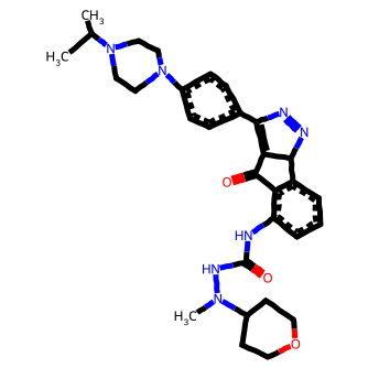 CC(C)N1CCN(c2ccc(C3=C4C(=O)c5c(NC(=O)NN(C)C6CCOCC6)cccc5C4N=N3)cc2)CC1